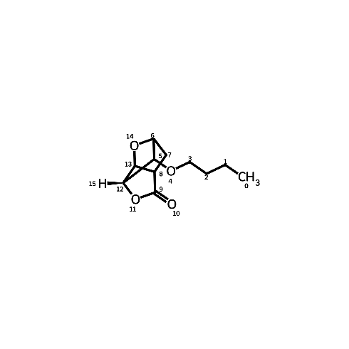 CCCCOC1C2CC3C(=O)O[C@@H]1C3O2